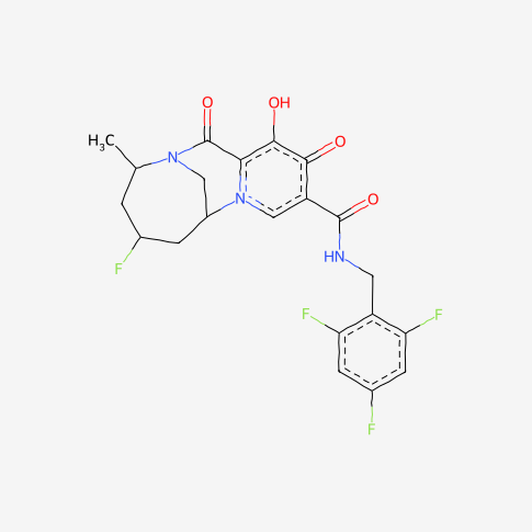 CC1CC(F)CC2CN1C(=O)c1c(O)c(=O)c(C(=O)NCc3c(F)cc(F)cc3F)cn12